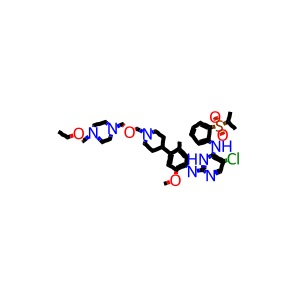 CCOCN1CCN(COCN2CCC(c3cc(OC)c(Nc4ncc(Cl)c(Nc5ccccc5S(=O)(=O)C(C)C)n4)cc3C)CC2)CC1